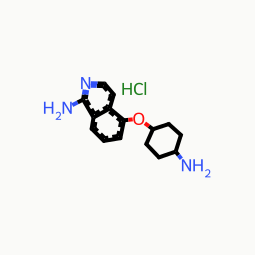 Cl.Nc1nccc2c(OC3CCC(N)CC3)cccc12